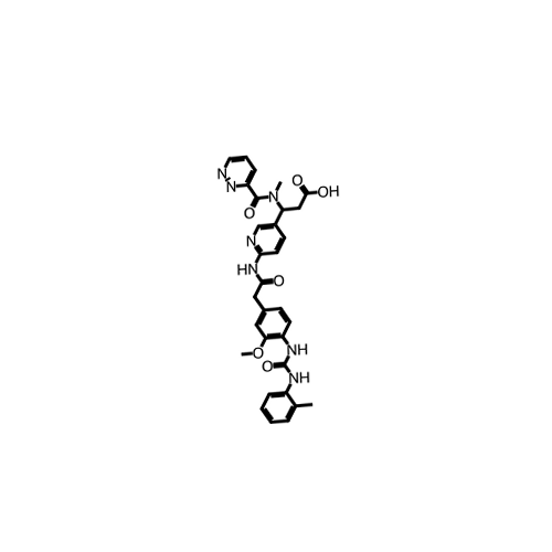 COc1cc(CC(=O)Nc2ccc(C(CC(=O)O)N(C)C(=O)c3cccnn3)cn2)ccc1NC(=O)Nc1ccccc1C